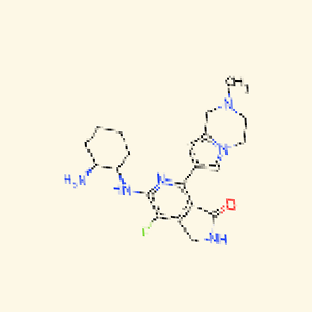 CN1CCn2cc(-c3nc(N[C@@H]4CCCC[C@@H]4N)c(F)c4c3C(=O)NC4)cc2C1